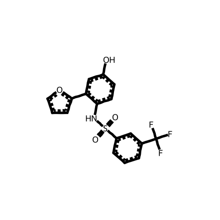 O=S(=O)(Nc1ccc(O)cc1-c1ccco1)c1cccc(C(F)(F)F)c1